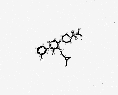 CC1CC1COc1c(N2CCN(S(=O)(=O)C(C)C)CC2)cnn(-c2cccc(Cl)c2)c1=O